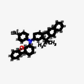 CC(C)(C)c1ccc(N(c2ccc3c(c2)C(C)(C)c2cc4ccccc4cc2-3)c2cccc3c2oc2ccccc23)cc1